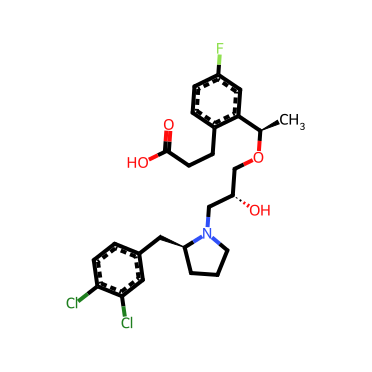 C[C@@H](OC[C@H](O)CN1CCC[C@H]1Cc1ccc(Cl)c(Cl)c1)c1cc(F)ccc1CCC(=O)O